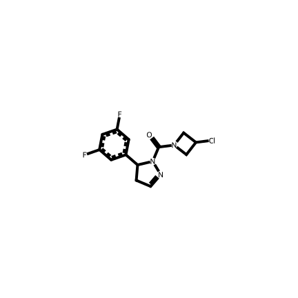 O=C(N1CC(Cl)C1)N1N=CCC1c1cc(F)cc(F)c1